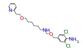 Nc1c(Cl)cc(COCNCCCCCCOCCc2ccccn2)cc1Cl